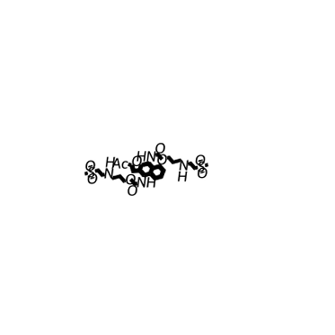 CC(=O)c1cc2c(NC(=O)OCCCNCCS(C)(=O)=O)c3ccccc3c(NC(=O)OCCCNCCS(C)(=O)=O)c2o1